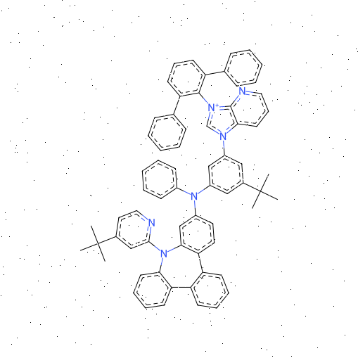 CC(C)(C)c1cc(N(c2ccccc2)c2ccc3c(c2)N(c2cc(C(C)(C)C)ccn2)c2ccccc2-c2ccccc2-3)cc(-n2c[n+](-c3c(-c4ccccc4)cccc3-c3ccccc3)c3ncccc32)c1